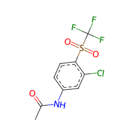 CC(=O)Nc1ccc(S(=O)(=O)C(F)(F)F)c(Cl)c1